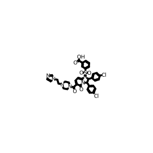 O=C(O)c1cccc(S(=O)(=O)N2c3ccc(C(=O)N4CCN(CCn5ccnc5)CC4)c(=O)n3C(c3ccc(Cl)cc3)C2c2ccc(Cl)cc2)c1